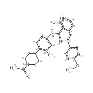 COc1ncc(-c2cc3cc[nH]c(=O)c3c(Nc3ccc(C4CCN(C(C)=O)CC4)c(C)c3)n2)cn1